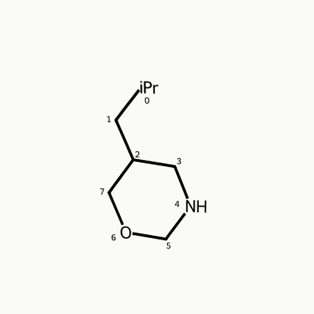 CC(C)CC1CNCOC1